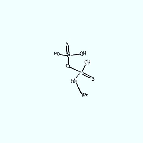 CC(C)NP(O)(=S)OP(O)(O)=S